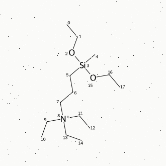 CCO[Si](C)(CCC[N+](CC)(CC)CC)OCC